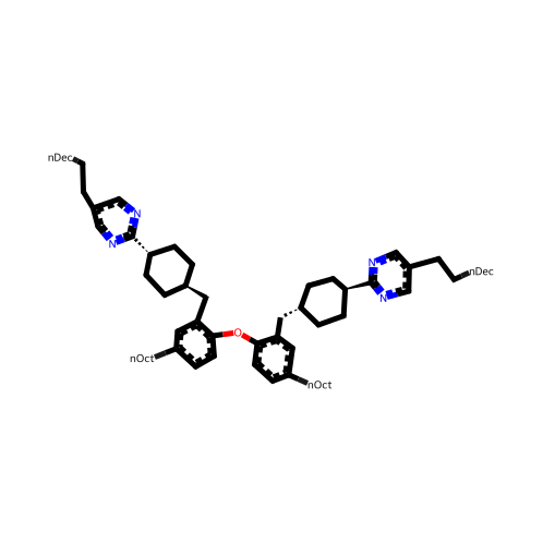 CCCCCCCCCCCCc1cnc([C@H]2CC[C@H](Cc3cc(CCCCCCCC)ccc3Oc3ccc(CCCCCCCC)cc3C[C@H]3CC[C@H](c4ncc(CCCCCCCCCCCC)cn4)CC3)CC2)nc1